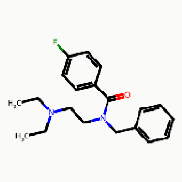 CCN(CC)CCN(Cc1ccccc1)C(=O)c1ccc(F)cc1